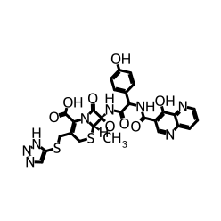 CO[C@@]1(NC(=O)C(NC(=O)c2cnc3cccnc3c2O)c2ccc(O)cc2)C(=O)N2C(C(=O)O)=C(CSc3cnn[nH]3)CS[C@H]21